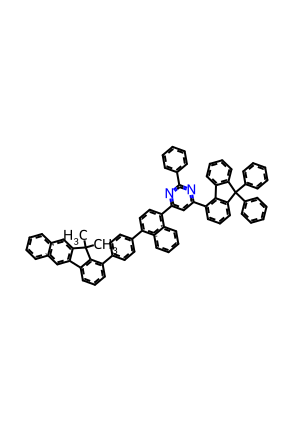 CC1(C)c2cc3ccccc3cc2-c2cccc(-c3ccc(-c4ccc(-c5cc(-c6cccc7c6-c6ccccc6C7(c6ccccc6)c6ccccc6)nc(-c6ccccc6)n5)c5ccccc45)cc3)c21